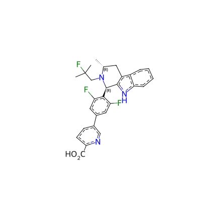 C[C@@H]1Cc2c([nH]c3ccccc23)[C@@H](c2c(F)cc(-c3ccc(C(=O)O)nc3)cc2F)N1CC(C)(C)F